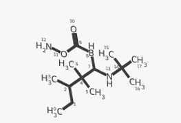 CCC(C)C(C)(C)C(BC(=O)ON)NC(C)(C)C